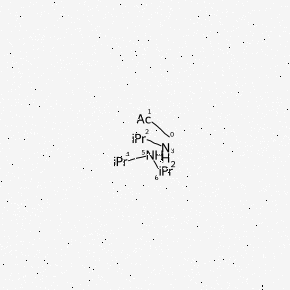 CC(C)=O.CC(C)N.CC(C)NC(C)C